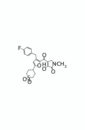 CN1CC(C(=O)c2oc(C3CCS(=O)(=O)CC3)cc2Cc2ccc(F)cc2)=C(O)C1=O